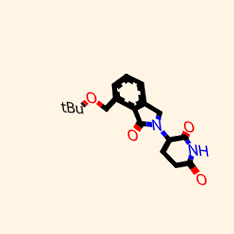 CC(C)(C)OCc1cccc2c1C(=O)N(C1CCC(=O)NC1=O)C2